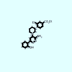 CCOC(=O)c1ccc([C@H]2CCCN(c3cc(-c4ccccc4O)nnc3N)C2)c(CC)c1